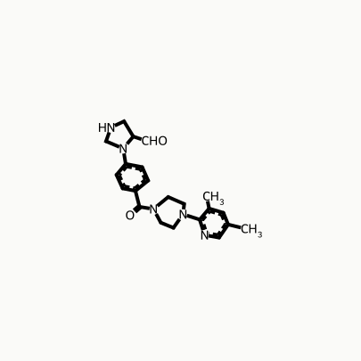 Cc1cnc(N2CCN(C(=O)c3ccc(N4CNCC4C=O)cc3)CC2)c(C)c1